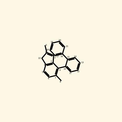 CC1=Cc2c(ccc(C)c2-c2ccccc2-c2ccccc2)[CH]1